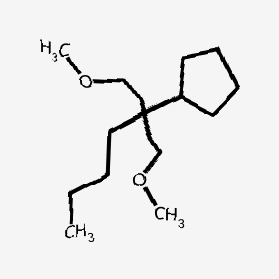 CCCCC(COC)(COC)C1CCCC1